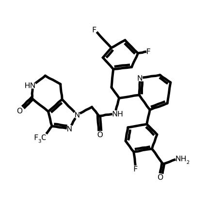 NC(=O)c1cc(-c2cccnc2C(Cc2cc(F)cc(F)c2)NC(=O)Cn2nc(C(F)(F)F)c3c2CCNC3=O)ccc1F